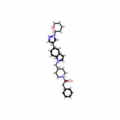 O=C(Cc1ccccc1)N1CCC(Cn2ccc3cc(-c4cnn(C5CCCCO5)c4)ccc32)CC1